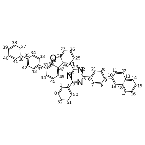 C1=CC(c2nc(-c3ccc(-c4ccc5ccccc5c4)cc3)nc(-c3cccc4oc5c(-c6ccc(-c7ccccc7)cc6)cccc5c34)n2)=CCC1